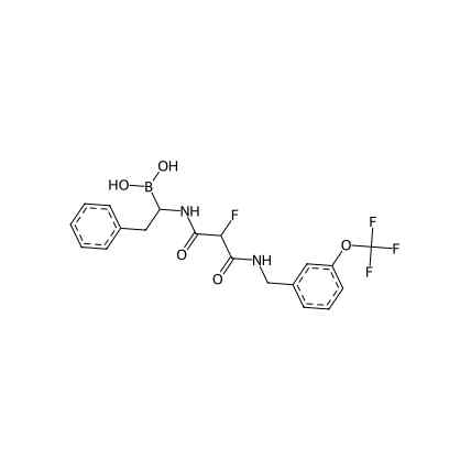 O=C(NCc1cccc(OC(F)(F)F)c1)C(F)C(=O)NC(Cc1ccccc1)B(O)O